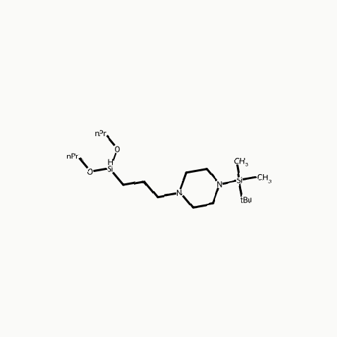 CCCO[SiH](CCCN1CCN([Si](C)(C)C(C)(C)C)CC1)OCCC